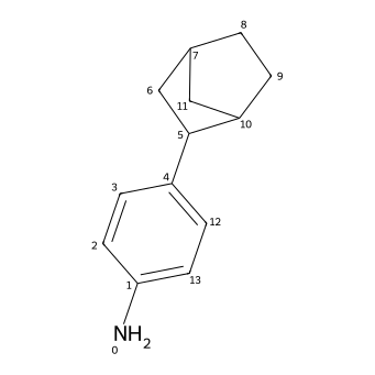 Nc1ccc(C2CC3CCC2C3)cc1